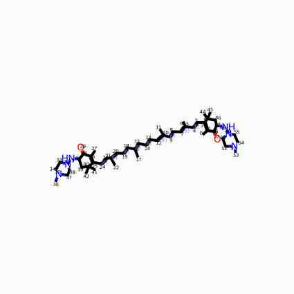 CC1=C(/C=C/C(C)=C/C=C/C(C)=C/C=C/C=C(C)/C=C/C=C(C)/C=C/C2=C(C)C(=O)C(NN3CCN(C)CC3)CC2(C)C)C(C)(C)CC(NN2CCN(C)CC2)C1=O